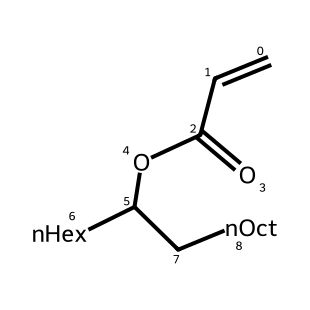 C=CC(=O)OC(CCCCCC)CCCCCCCCC